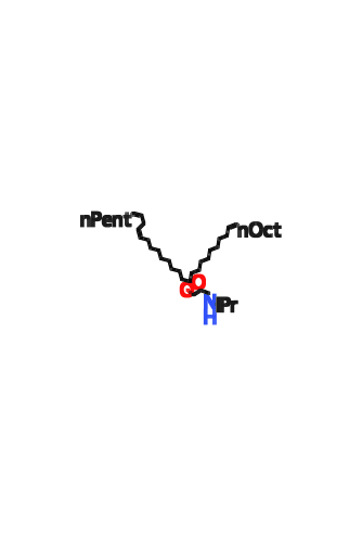 CCCCC/C=C\C/C=C\CCCCCCCCC1(CCCCCCCC/C=C\CCCCCCCC)OCC(CNC(C)C)O1